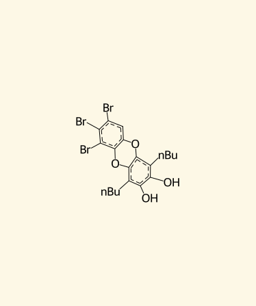 CCCCc1c(O)c(O)c(CCCC)c2c1Oc1cc(Br)c(Br)c(Br)c1O2